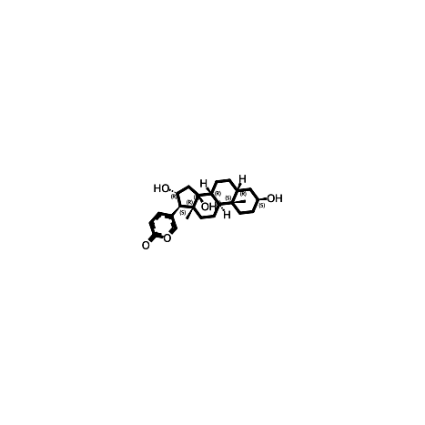 C[C@]12CC[C@H](O)C[C@H]1CC[C@@H]1[C@@H]2CC[C@]2(C)[C@@H](c3ccc(=O)oc3)[C@H](O)C[C@]12O